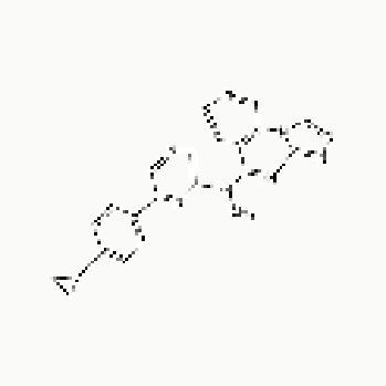 CN(c1cncc(-c2ccc(C3CC3)cc2)n1)c1nc2nncn2c2cnccc12